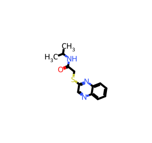 CC(C)NC(=O)CSc1cnc2ccccc2n1